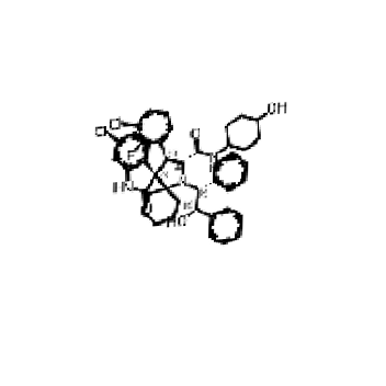 O=C(NC1CCC(O)CC1)[C@H]1[C@H](c2cccc(Cl)c2F)[C@@]2(C(=O)Nc3cc(Cl)ccc32)C2(CCCCC2)N1[C@H](c1ccccc1)[C@H](O)c1ccccc1